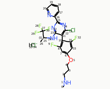 CNCCCOc1cc(F)c(-c2c(Cl)nc(-c3ccccn3)nc2N[C@@H](C)C(F)(F)F)c(F)c1.[Cl-].[H+]